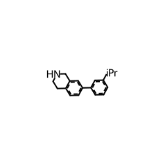 CC(C)c1cccc(-c2ccc3c(c2)CNCC3)c1